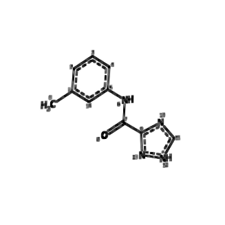 Cc1cccc(NC(=O)c2nc[nH]n2)c1